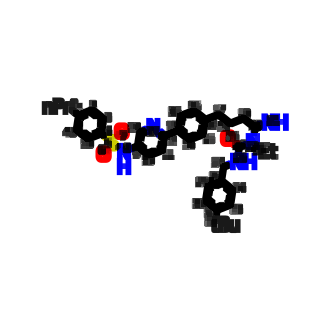 CCCc1ccc(S(=O)(=O)Nc2ccc(-c3ccc(CCCC(=N)N(CC)C(=O)NCc4ccc(C(C)(C)C)cc4)cc3)nc2)cc1